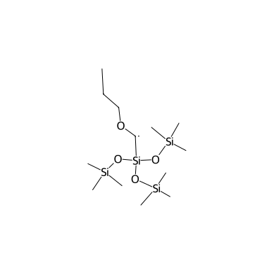 CCCO[CH][Si](O[Si](C)(C)C)(O[Si](C)(C)C)O[Si](C)(C)C